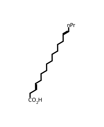 CCCC=CCCCCCCCCCC=CCC(=O)O